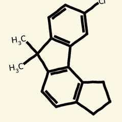 CC1(C)c2ccc(Cl)cc2-c2c1ccc1c2CCC1